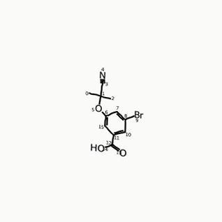 CC(C)(C#N)Oc1cc(Br)cc(C(=O)O)c1